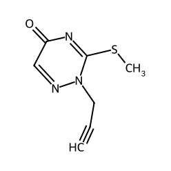 C#CCn1ncc(=O)nc1SC